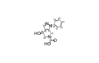 O=C(O)N1Cc2c(cnn2-c2ccccc2)C(O)C1